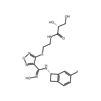 O=C(NCCSc1nonc1/C(=N\O)N[C@H]1Cc2ccc(F)cc21)[C@H](O)CO